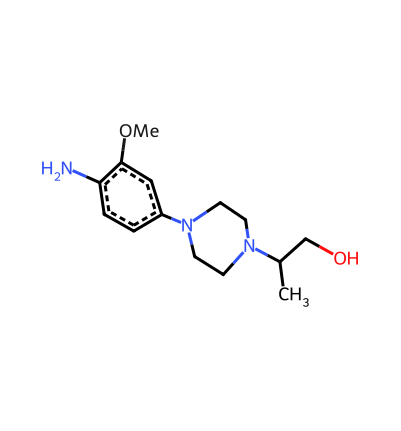 COc1cc(N2CCN(C(C)CO)CC2)ccc1N